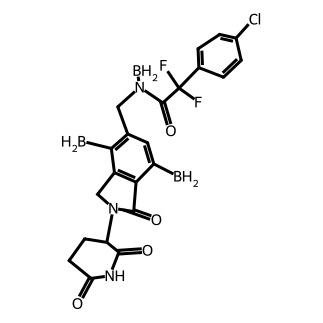 Bc1cc(CN(B)C(=O)C(F)(F)c2ccc(Cl)cc2)c(B)c2c1C(=O)N(C1CCC(=O)NC1=O)C2